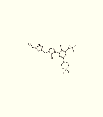 CCn1cc(Cn2ccn(-c3cc(N4CCC(F)(F)CC4)cc(C4CC4(F)F)c3F)c2=O)cn1